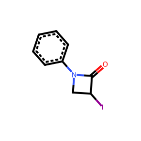 O=C1C(I)CN1c1ccccc1